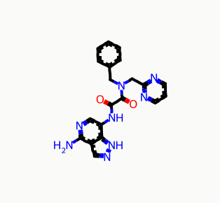 Nc1ncc(NC(=O)C(=O)N(Cc2ccccc2)Cc2ncccn2)c2[nH]ncc12